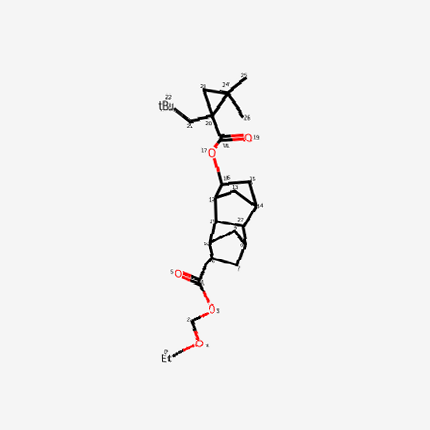 CCOCOC(=O)C1CC2CC1C1C3CC(CC3OC(=O)C3(CC(C)(C)C)CC3(C)C)C21